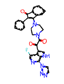 O=C1C(c2ccccc2)=C(N2CCN(C(=O)C(=O)c3c[nH]c4c(-n5ccnn5)ncc(F)c34)CC2)c2ccccc21